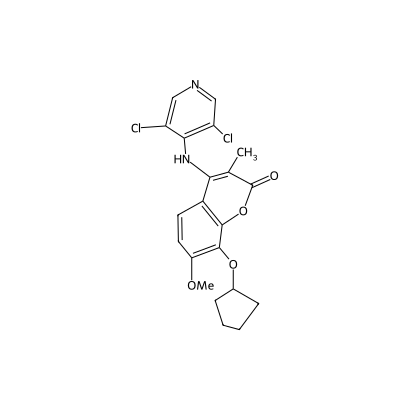 COc1ccc2c(Nc3c(Cl)cncc3Cl)c(C)c(=O)oc2c1OC1CCCC1